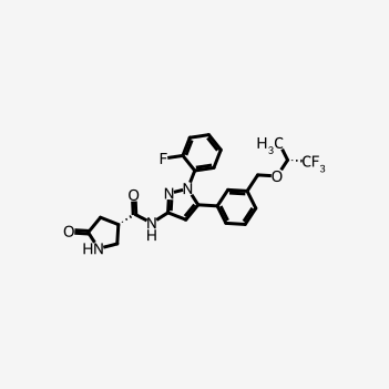 C[C@@H](OCc1cccc(-c2cc(NC(=O)[C@@H]3CNC(=O)C3)nn2-c2ccccc2F)c1)C(F)(F)F